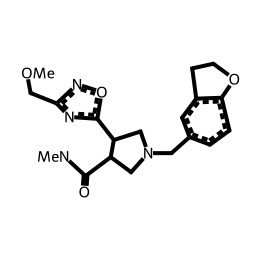 CNC(=O)C1CN(Cc2ccc3c(c2)CCO3)CC1c1nc(COC)no1